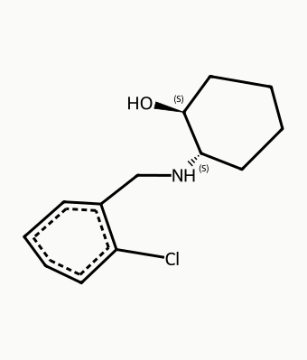 O[C@H]1CCCC[C@@H]1NCc1ccccc1Cl